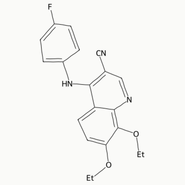 CCOc1ccc2c(Nc3ccc(F)cc3)c(C#N)cnc2c1OCC